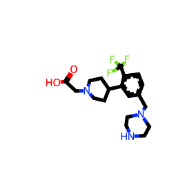 O=C(O)CN1CCC(c2cc(CN3CCNCC3)ccc2C(F)(F)F)CC1